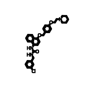 O=C(NCc1cccc(Cl)c1)Nc1ccc(OCc2ccc(OCCN3CCCCC3)cc2)c2ccccc12